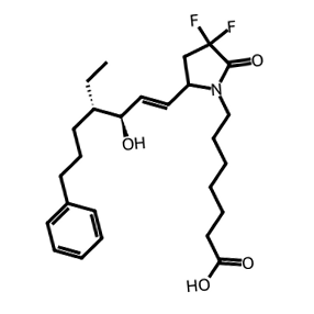 CC[C@@H](CCCc1ccccc1)[C@H](O)C=CC1CC(F)(F)C(=O)N1CCCCCCC(=O)O